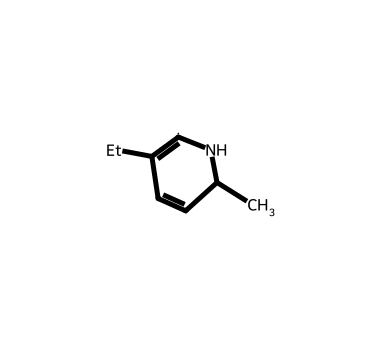 CCC1=[C]NC(C)C=C1